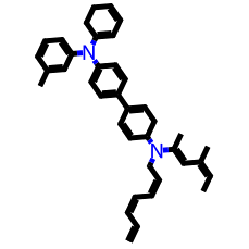 C=C/C=C\C=C/CN(/C(C)=C/C(C)=C\C)C1C=CC(c2ccc(N(C3=CC=CCC3)c3cccc(C)c3)cc2)=CC1